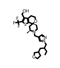 CCC(CC1CCOC1)Cn1cc(CN2CC[C@]3(C[C@@H]2C)OCCc2c3sc(C(F)(F)F)c2CO)cn1